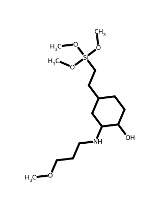 COCCCNC1CC(CC[Si](OC)(OC)OC)CCC1O